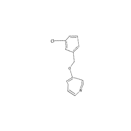 Clc1[c]ccc(COc2cccnc2)c1